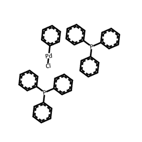 [Cl][Pd][c]1ccccc1.c1ccc(P(c2ccccc2)c2ccccc2)cc1.c1ccc(P(c2ccccc2)c2ccccc2)cc1